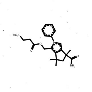 CC1(C)CC(C)(C(N)=O)c2cn(-c3ccccc3)c(COC(=O)CCC(=O)O)c21